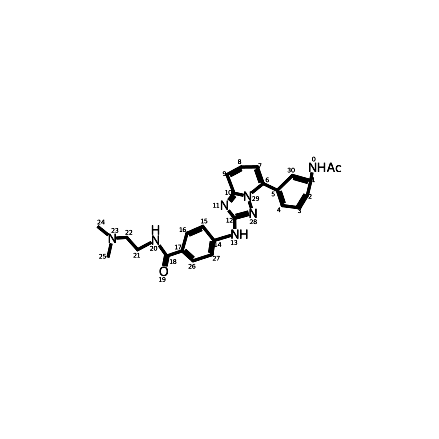 CC(=O)Nc1cccc(-c2cccc3nc(Nc4ccc(C(=O)NCCN(C)C)cc4)nn23)c1